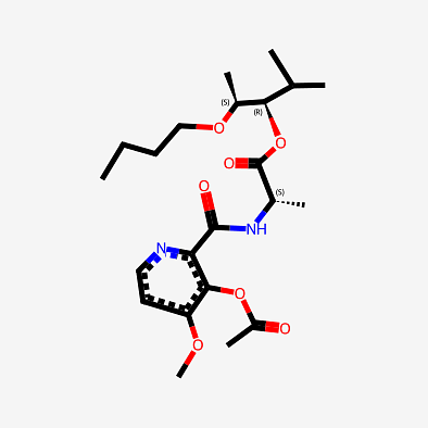 CCCCO[C@@H](C)[C@H](OC(=O)[C@H](C)NC(=O)c1nccc(OC)c1OC(C)=O)C(C)C